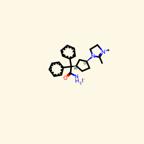 CC1=[N+](C)CCN1[C@H]1CC[C@@H](C(C(N)=O)(c2ccccc2)c2ccccc2)C1.[I-]